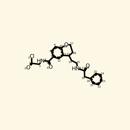 O=C(Cl)CNC(=O)c1ccc2c(c1)C(CCNC(=O)Cc1ccccc1)CCO2